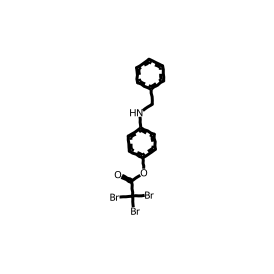 O=C(Oc1ccc(NCc2ccccc2)cc1)C(Br)(Br)Br